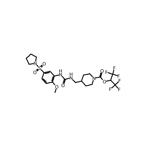 COc1ccc(S(=O)(=O)N2CCCC2)cc1NC(=O)NCC1CCN(C(=O)OC(C(F)(F)F)C(F)(F)F)CC1